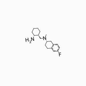 CN(C[C@@H]1CCCC[C@H]1N)[C@H]1CCc2cc(F)ccc2C1